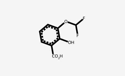 O=C(O)c1cccc(OC(F)F)c1O